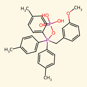 COc1cccc(CP(OP(=O)(O)O)(c2ccc(C)cc2)(c2ccc(C)cc2)c2ccc(C)cc2)c1